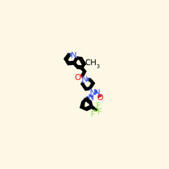 Cc1cc2ncccc2cc1CC(=O)N1CCC(N(N=O)N2c3cccc(C(F)(F)F)c32)CC1